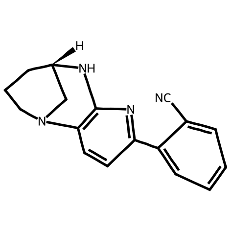 N#Cc1ccccc1-c1ccc2c(n1)N[C@H]1CCCN2C1